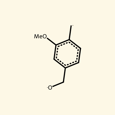 [CH2]c1ccc(C[O])cc1OC